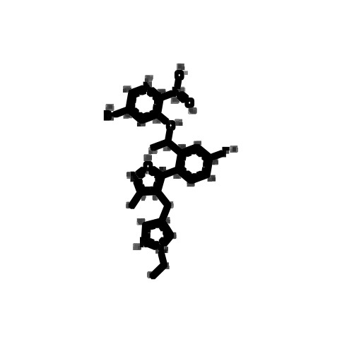 CCn1cc(Cc2c(C)noc2-c2ccc(F)cc2C(C)Oc2cc(Br)cnc2[N+](=O)[O-])cn1